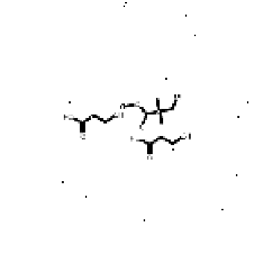 CC(C)(CO)C(Cl)OCl.O=C(O)CCS.O=C(O)CCS